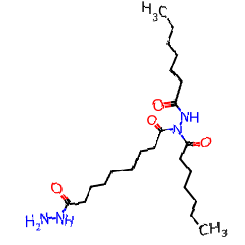 CCCCCCC(=O)NN(C(=O)CCCCCC)C(=O)CCCCCCCC(=O)NN